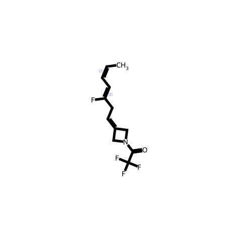 C/C=C\C=C(/F)CC=C1CN(C(=O)C(F)(F)F)C1